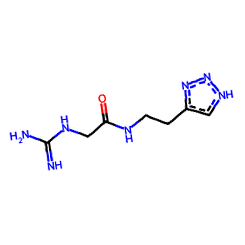 N=C(N)NCC(=O)NCCc1c[nH]nn1